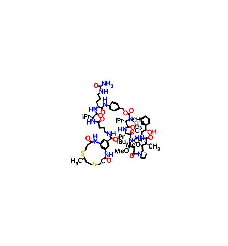 CC[C@H](C)[C@@H]([C@@H](CC(=O)N1CCC[C@H]1[C@H](OC)[C@@H](C)C(=O)N[C@H](C)[C@@H](O)c1ccccc1)OC)N(C)C(=O)[C@@H](NC(=O)[C@H](C(C)C)N(C)C(=O)OCc1ccc(NC(=O)[C@H](CCCNC(N)=O)NC(=O)[C@@H](NC(=O)CCCNC(=O)c2cc3cc(c2)NC(=O)CCSC(C)CCSCCC(=O)N3)C(C)C)cc1)C(C)C